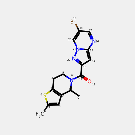 CC1c2cc(C(F)(F)F)sc2CCN1C(=O)c1cc2ncc(Br)cn2n1